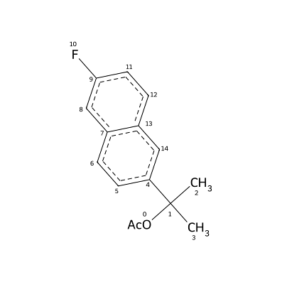 CC(=O)OC(C)(C)c1ccc2cc(F)ccc2c1